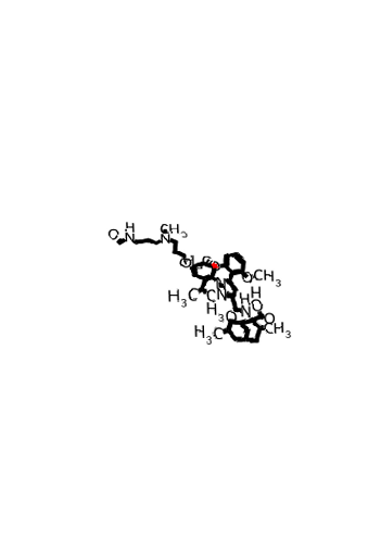 COc1cccc(OC)c1-c1cc(C(=O)NC2(C(=O)O)C(C)CC3CC(C)CC2C3)nn1-c1ccc(OCCCN(C)CCCNC=O)cc1C(C)C